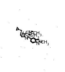 C=C1/C(=N\N(c2ccc3nn(C)cc3c2)C(C)(C)/N=C\C)C=CN1CC1CC1